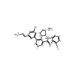 C/N=C/c1cc(F)cc(-c2cncc(-c3nc4c(F)cccc4[nH]3)c2N2CC[C@H](N)C2)c1